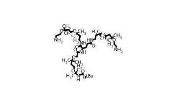 CC(C)(C)OC(=O)NC(C)(C)OCCC(C)(C)OCC(=O)NC(CCC(=O)NCCC(C)(C)OCCC(C)(C)OCCN)C(=O)NCCC(C)(C)OCCC(C)(C)OCCN